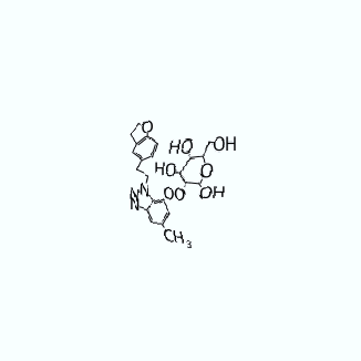 Cc1cc(OO[C@H]2C(O)O[C@H](CO)[C@@H](O)[C@@H]2O)c2c(c1)nnn2CCc1ccc2c(c1)CCO2